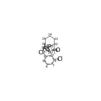 O=C(c1c(Cl)cccc1Cl)[PH]1(S)C2CCCC1CCC2